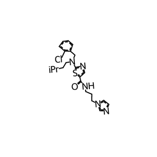 CC(C)CCN(Cc1ccccc1Cl)c1ncc(C(=O)NCCCn2ccnc2)s1